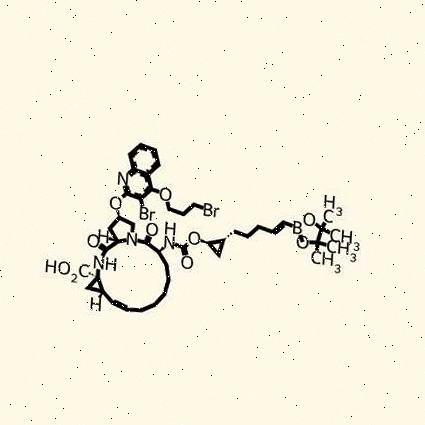 CC1(C)OB(/C=C/CCC[C@@H]2C[C@H]2OC(=O)N[C@H]2CCCCC/C=C\[C@@H]3C[C@@]3(C(=O)O)NC(=O)[C@@H]3C[C@@H](Oc4nc5ccccc5c(OCCCBr)c4Br)CN3C2=O)OC1(C)C